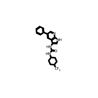 O=C(Nc1c[nH]c2ncc(-c3ccccc3)cc12)NC1CCC(C(F)(F)F)CC1